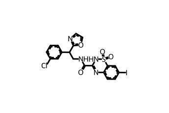 O=C(NCC(c1cccc(Cl)c1)c1ncco1)C1=Nc2ccc(I)cc2S(=O)(=O)N1